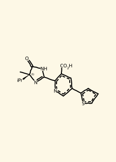 CC(C)[C@]1(C)N=C(c2ncc(-c3cccs3)cc2C(=O)O)NC1=O